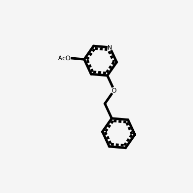 CC(=O)Oc1cncc(OCc2ccccc2)c1